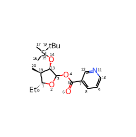 CC[C@H]1OC(OC(=O)c2cccnc2)[C@H](O[Si](C)(C)C(C)(C)C)[C@@H]1C